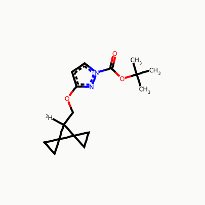 [2H]C1(COc2ccn(C(=O)OC(C)(C)C)n2)C2(CC2)C12CC2